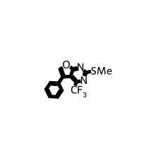 CSc1nc(C(F)(F)F)c2c(-c3ccccc3)coc2n1